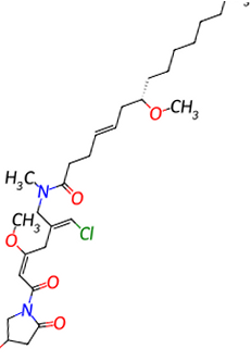 CCCCCCC[C@@H](C/C=C/CCC(=O)N(C)C/C(=C/Cl)C/C(=C\C(=O)N1CC(O)CC1=O)OC)OC